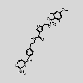 COc1cc(C)c(S(=O)(=O)N(C)Cc2cc(C(=O)NCCc3ccc(Nc4ccnc(N)n4)cc3)co2)c(C)c1